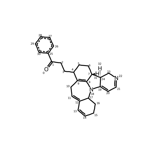 O=C(CCC1CC[C@H]2C3=C1CC=C1C=CCCC1N3C1=CC=NC[C@@H]12)c1ccccc1